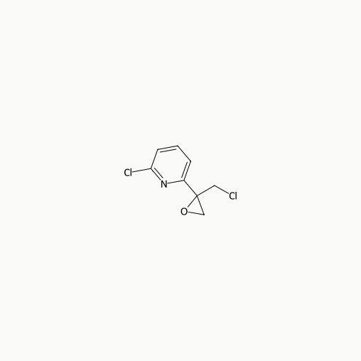 ClCC1(c2cccc(Cl)n2)CO1